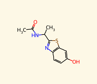 CC(=O)NC(C)c1nc2ccc(O)cc2s1